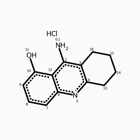 Cl.Nc1c2c(nc3cccc(O)c13)CCCC2